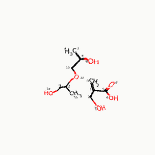 C=C(CO)C(=O)O.CC(O)COC(C)CO